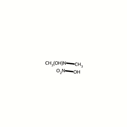 CN(C)O.O=[N+]([O-])O